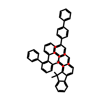 CC1(C)c2ccccc2-c2cccc(N(c3ccc(-c4ccc(-c5ccccc5)cc4)cc3)c3cccc(-c4ccccc4)c3-c3ccccc3-c3ccccc3)c21